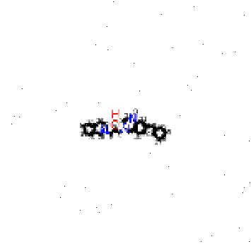 CN1CCN(C[C@H](O)CN2CCc3ccccc3C2)Cc2ccc(CC3CCCCC3)cc21